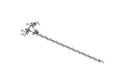 COCCOCCOCCOCCOCCOCCOCCOCCOCCOCCOCCOCCOCCOCCOCCOCCOCCOCCOCCOCCOCCOCCOCCOCCNC(=O)CCCCCN1C(=CC=CC=CC2=[N+](CCCCCC(=O)O)c3ccc(C)cc3C2(C)C)C(C)(C)c2cc(C)ccc21